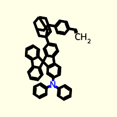 C=Cc1ccc(C23CC4CC(C2)CC(c2ccc5c(c2)C2(c6ccccc6-c6ccccc62)c2cc(N(c6ccccc6)c6ccccc6)ccc2-5)(C4)C3)cc1